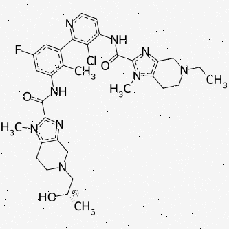 CCN1CCc2c(nc(C(=O)Nc3ccnc(-c4cc(F)cc(NC(=O)c5nc6c(n5C)CCN(C[C@H](C)O)C6)c4C)c3Cl)n2C)C1